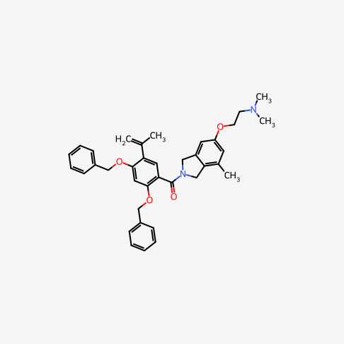 C=C(C)c1cc(C(=O)N2Cc3cc(OCCN(C)C)cc(C)c3C2)c(OCc2ccccc2)cc1OCc1ccccc1